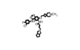 CN1CCC2(CC1)CC(COc1cc3ncnc(Nc4ccc(F)c(Cl)c4)c3cc1NC(=O)/C=C/CN1CC3CCCC3C1)C2